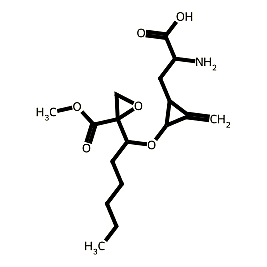 C=C1C(CC(N)C(=O)O)C1OC(CCCCC)C1(C(=O)OC)CO1